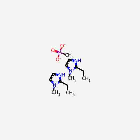 CCc1[nH]cc[n+]1C.CCc1[nH]cc[n+]1C.CP(=O)([O-])[O-]